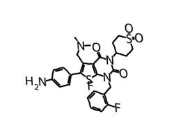 CN(C)Cc1c(-c2ccc(N)cc2)sc2c1c(=O)n(C1CCS(=O)(=O)CC1)c(=O)n2Cc1c(F)cccc1F